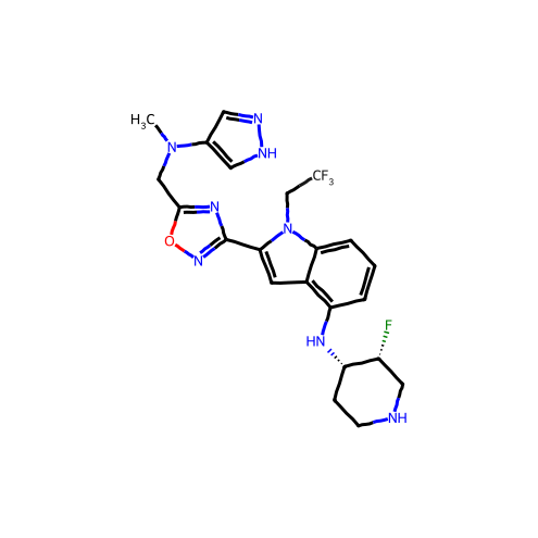 CN(Cc1nc(-c2cc3c(N[C@H]4CCNC[C@H]4F)cccc3n2CC(F)(F)F)no1)c1cn[nH]c1